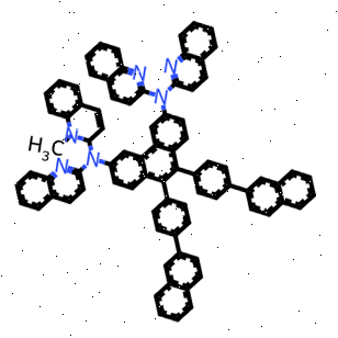 CN1c2ccccc2C=CC1N(c1ccc2c(-c3ccc(-c4ccc5ccccc5c4)cc3)c(-c3ccc(-c4ccc5ccccc5c4)cc3)c3ccc(N(c4ccc5ccccc5n4)c4ccc5ccccc5n4)cc3c2c1)c1ccc2ccccc2n1